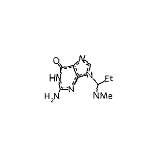 CCC(NC)n1cnc2c(=O)[nH]c(N)nc21